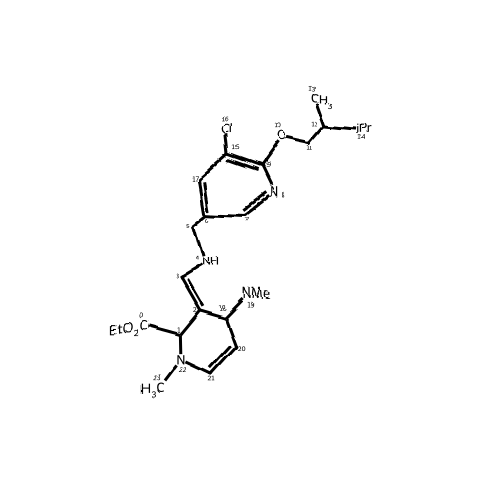 CCOC(=O)C1/C(=C/NCc2cnc(OCC(C)C(C)C)c(Cl)c2)C(NC)C=CN1C